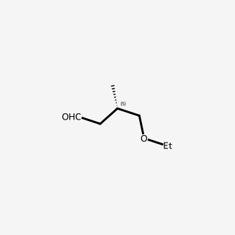 CCOC[C@@H](C)CC=O